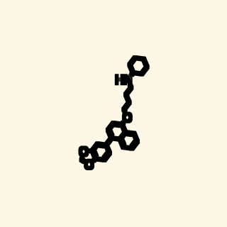 c1ccc2c(-c3ccc4c(c3)OCO4)ccc(OCCCCNC3CCCCC3)c2c1